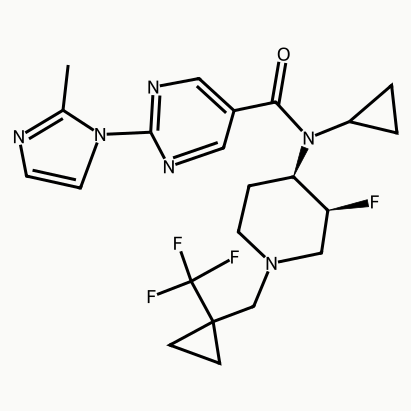 Cc1nccn1-c1ncc(C(=O)N(C2CC2)[C@@H]2CCN(CC3(C(F)(F)F)CC3)C[C@@H]2F)cn1